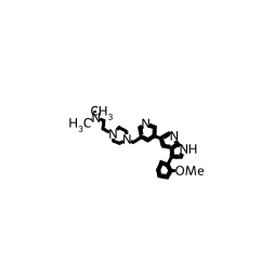 COc1ccccc1-c1c[nH]c2ncc(-c3cncc(CN4CCN(CCN(C)C)CC4)c3)cc12